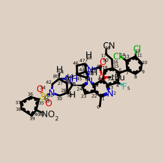 Cc1nc2c(F)c(-c3cccc(Cl)c3Cl)c(CCC#N)cc2c2c1cc([C@@H]1N[C@@H]3C[C@H]1CN(S(=O)(=O)c1ccccc1[N+](=O)[O-])C3)n2[C@H]1[C@@H]2C[C@H]1N(C(=O)OC(C)(C)C)C2